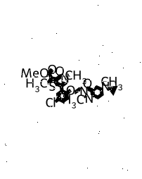 COC(=O)c1c(C)sc2c(-c3cc(Cl)ccc3OCCn3c(C)nc4c(c3=O)C[C@H](N(C)C3CC3)CC4)cn(C)c(=O)c12